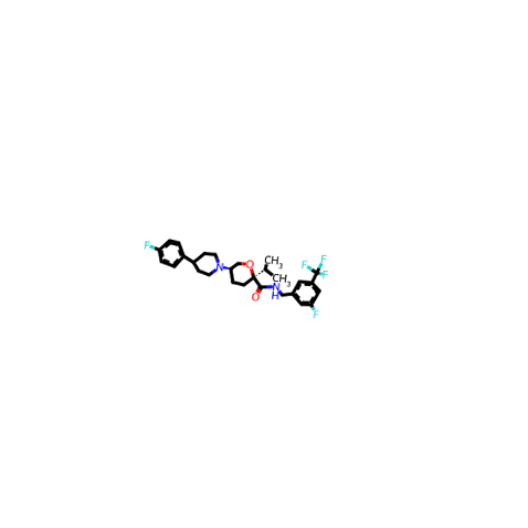 CC(C)[C@]1(C(=O)NCc2cc(F)cc(C(F)(F)F)c2)CC[C@@H](N2CCC(c3ccc(F)cc3)CC2)CO1